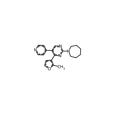 Cc1occc1-c1nc(N2CCCCCC2)ncc1-c1ccncc1